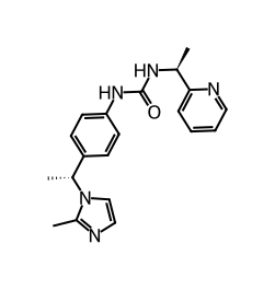 Cc1nccn1[C@H](C)c1ccc(NC(=O)N[C@@H](C)c2ccccn2)cc1